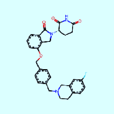 O=C1CC[C@H](N2Cc3c(OCc4ccc(CN5CCc6ccc(F)cc6C5)cc4)cccc3C2=O)C(=O)N1